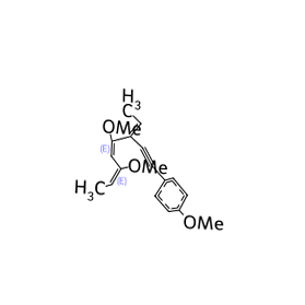 CC=C(C#Cc1ccc(OC)cc1)/C(=C\C(=C/C)OC)OC